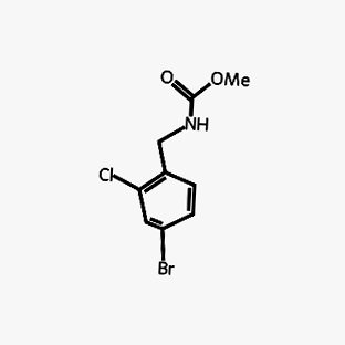 COC(=O)NCc1ccc(Br)cc1Cl